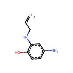 C=CCNc1cc(N)ccc1O